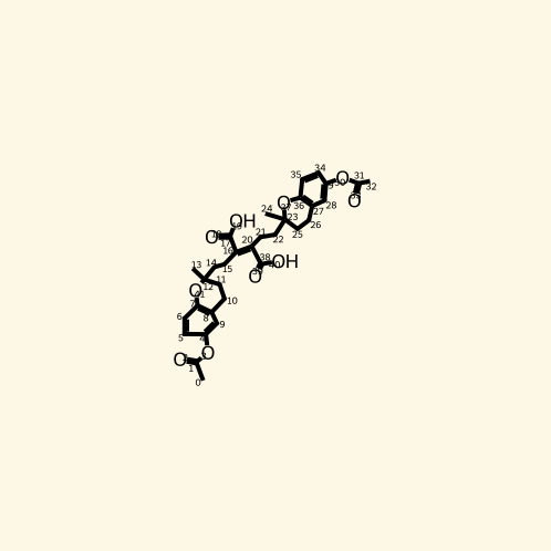 CC(=O)Oc1ccc2c(c1)CCC(C)(CCC(C(=O)O)=C(CCC1(C)CCc3cc(OC(C)=O)ccc3O1)C(=O)O)O2